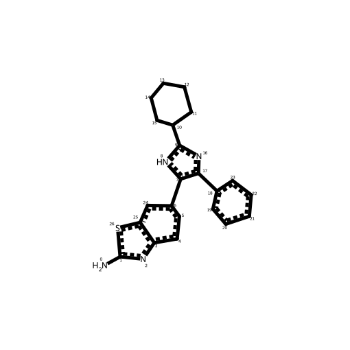 Nc1nc2ccc(-c3[nH]c(C4CCCCC4)nc3-c3ccccc3)cc2s1